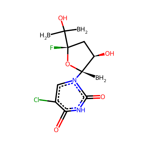 BC(B)(O)[C@]1(F)C[C@@H](O)[C@](B)(n2cc(Cl)c(=O)[nH]c2=O)O1